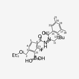 CCOCc1ccc(C(=O)NN(CC(C)(C)C)C(=O)c2cc(C)cc(C)c2)c(F)c1B(O)O